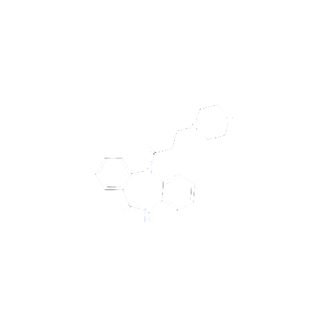 O=C1Nc2ccccc2N(C(=O)CCN2CCOCC2)c2ccccc21